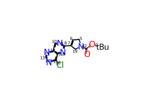 CC(C)(C)OC(=O)N1CC=C(c2ncc3ncnc(Cl)c3n2)C1